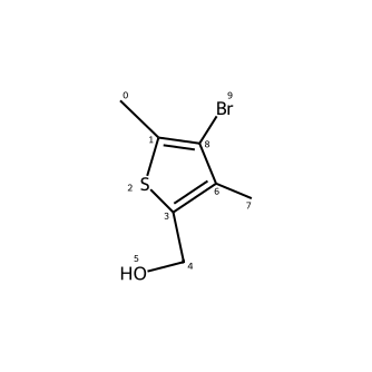 Cc1sc(CO)c(C)c1Br